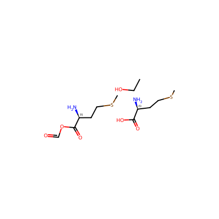 CCO.CSCC[C@H](N)C(=O)O.CSCC[C@H](N)C(=O)OC=O